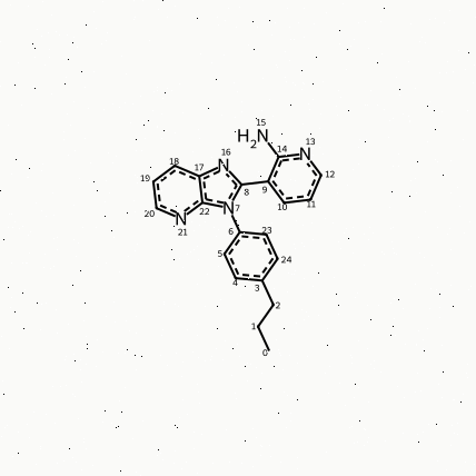 CCCc1ccc(-n2c(-c3cccnc3N)nc3cccnc32)cc1